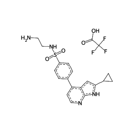 NCCNS(=O)(=O)c1ccc(-c2ccnc3[nH]c(C4CC4)cc23)cc1.O=C(O)C(F)(F)F